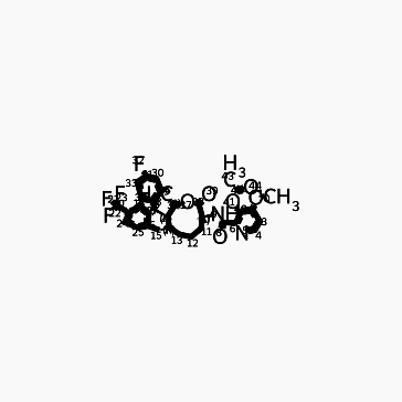 COc1ccnc(C(=O)N[C@H]2CCC[C@H](Cc3ccc(C(F)(F)F)cc3)[C@@H](Cc3ccc(F)cc3)[C@H](C)OC2=O)c1OC(C)=O